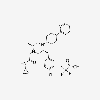 C[C@H]1CN(C2CCN(c3ccccn3)CC2)[C@@H](Cc2ccc(Cl)cc2)CN1CC(=O)NC1CC1.O=C(O)C(F)(F)F